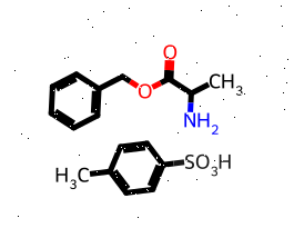 CC(N)C(=O)OCc1ccccc1.Cc1ccc(S(=O)(=O)O)cc1